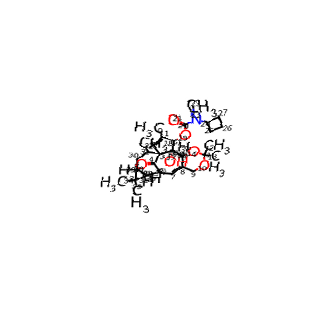 CC1=CC23C(=O)[C@@H](C=C4COC(C)(C)O[C@H]4[C@]2(O)[C@H]1OC(=O)N(C)C1CCC1)[C@H]1[C@@H](CC3C)C1(C)C